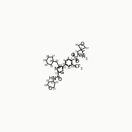 CC1(CNS(=O)(=O)c2ccc(-c3sc(C(=O)NC4CCOCC4)nc3CC3CCCCC3)cc2C(F)(F)F)COC1